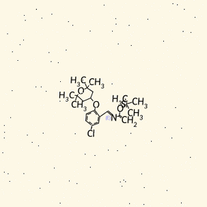 C=C(/N=C/c1cc(Cl)ccc1OC1CC(C)(C)OC(C)(C)C1)O[Si](C)(C)C